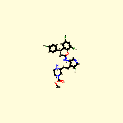 CC(C)(C)OC(=O)N1CCNC(CCc2c(F)cncc2NC(=O)C[C@@H](c2ccc(F)cc2)c2cc(F)cc(F)c2)C1